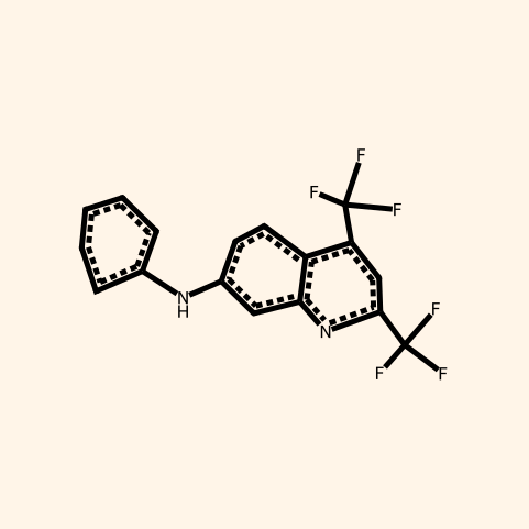 FC(F)(F)c1cc(C(F)(F)F)c2ccc(Nc3ccccc3)cc2n1